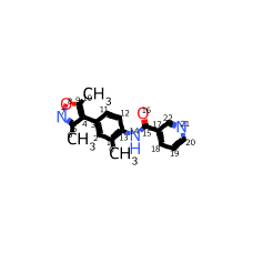 Cc1cc(-c2c(C)noc2C)ccc1NC(=O)c1cccnc1